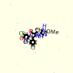 COC1N=CC(N2NC3C(=C2C)C(=O)N(c2cc(Cl)c(=O)n(C)c2)C3c2ccc(Cl)cc2)=CN1